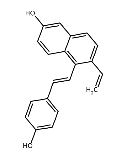 C=Cc1ccc2cc(O)ccc2c1C=Cc1ccc(O)cc1